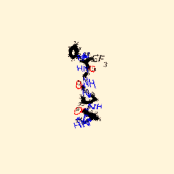 Cc1cc(C(=O)NC2CCN(C(=O)NCCNC(=O)c3cn(-c4ccccc4)nc3C(F)(F)F)CC2)n[nH]1